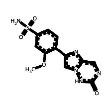 COc1cc(S(N)(=O)=O)ccc1-c1cn2[nH]c(=O)ncc2n1